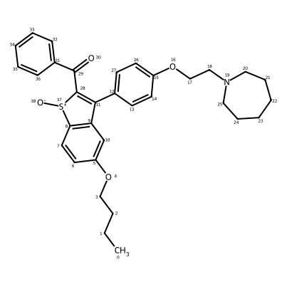 CCCCOc1ccc2c(c1)c(-c1ccc(OCCN3CCCCCC3)cc1)c(C(=O)c1ccccc1)[s+]2[O-]